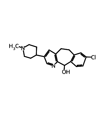 CN1CCC(c2cnc3c(c2)CCc2cc(Cl)ccc2C3O)CC1